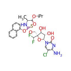 CC(C)OC(=O)[C@H](C)NP(=S)(OC[C@@]1(C(F)F)O[C@@H](n2cc(Cl)c(N)nc2=O)[C@@H](O)[C@@H]1O)Oc1cccc2ccccc12